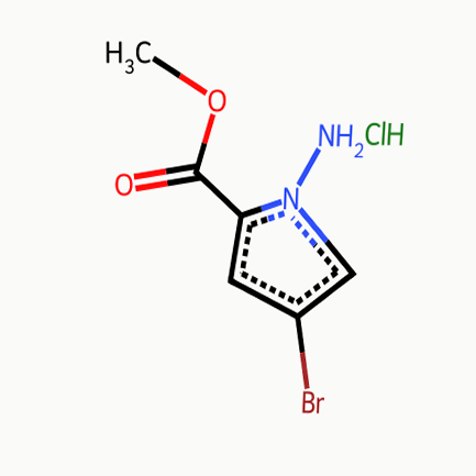 COC(=O)c1cc(Br)cn1N.Cl